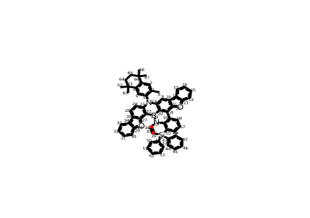 Cc1cc2c(cc1N1c3cc4c(oc5ccccc54)c4c3B(c3c1ccc1c3oc3ccccc31)N1c3ccccc3[Si](c3ccccc3)(c3ccccc3)c3cccc-4c31)C(C)(C)CCC2(C)C